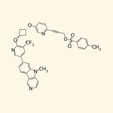 Cc1ccc(S(=O)(=O)OCC#Cc2ccc(O[C@H]3C[C@H](Oc4ncc(-c5ccc6c7cnccc7n(C)c6c5)cc4C(F)(F)F)C3)cn2)cc1